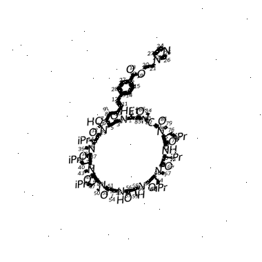 CC[C@@H]1NC(=O)[C@H]([C@H](O)[C@H](C)C/C=C/c2ccc(C(=O)OCCn3ccnc3)cc2)N(C)C(=O)[C@H](C(C)C)N(C)C(=O)[C@H](CC(C)C)N(C)C(=O)[C@H](CC(C)C)N(C)C(=O)[C@@H](C)NC(=O)[C@H](C)NC(=O)[C@H](CC(C)C)N(C)C(=O)[C@H](C(C)C)NC(=O)[C@H](CC(C)C)N(C)C(=O)CN(C)C1=O